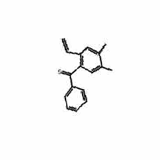 C=Cc1cc(C)c(C)cc1C(=S)c1ccccc1